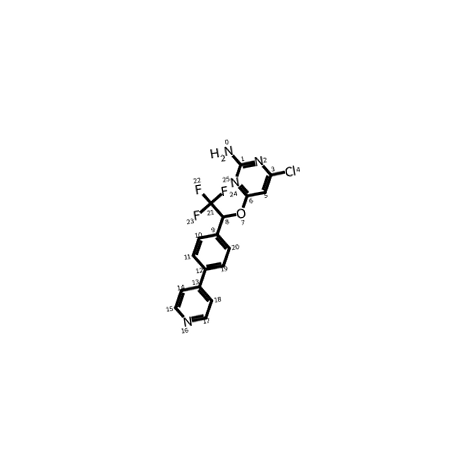 Nc1nc(Cl)cc(OC(c2ccc(-c3ccncc3)cc2)C(F)(F)F)n1